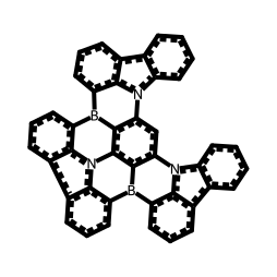 c1ccc2c(c1)c1cccc3c1n2-c1cc2c4c5c1B3c1cccc3c6cccc(c6n-5c13)B4c1cccc3c4ccccc4n-2c13